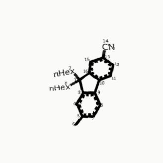 CCCCCCC1(CCCCCC)c2cc(C)ccc2-c2ccc(C#N)cc21